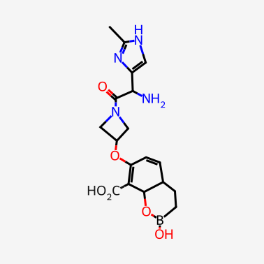 Cc1nc(C(N)C(=O)N2CC(OC3=C(C(=O)O)C4OB(O)CCC4C=C3)C2)c[nH]1